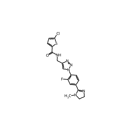 CN1CCN=C1c1ccc(-n2cc(CNC(=O)c3ccc(Cl)s3)nn2)c(F)c1